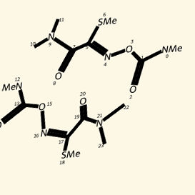 CNC(=O)O/N=C(\SC)C(=O)N(C)C.CNC(=O)ON=C(SC)C(=O)N(C)C